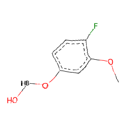 COc1cc(OBO)ccc1F